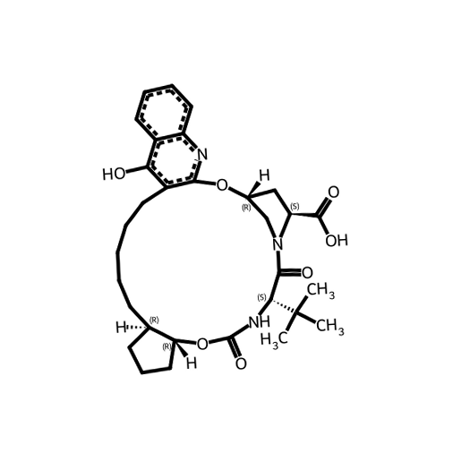 CC(C)(C)[C@@H]1NC(=O)O[C@@H]2CCC[C@H]2CCCCCc2c(nc3ccccc3c2O)O[C@@H]2C[C@@H](C(=O)O)N(C2)C1=O